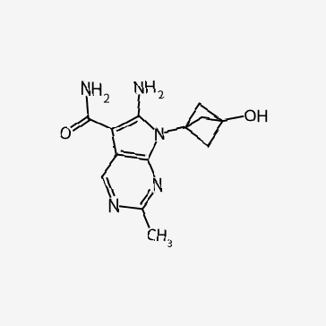 Cc1ncc2c(C(N)=O)c(N)n(C34CC(O)(C3)C4)c2n1